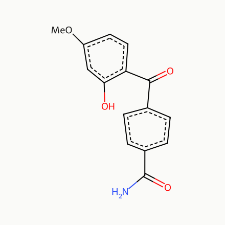 COc1ccc(C(=O)c2ccc(C(N)=O)cc2)c(O)c1